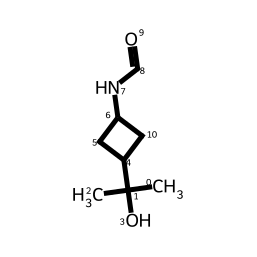 CC(C)(O)C1CC(NC=O)C1